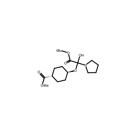 COC(=O)[C@H]1CC[C@H](OC(O)(C(=O)OC(C)(C)C)N2CCCC2)CC1